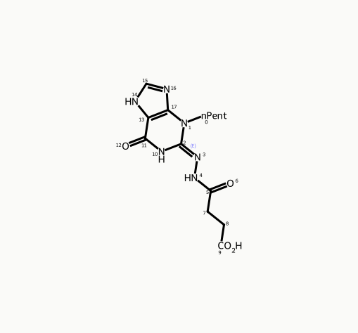 CCCCCn1/c(=N/NC(=O)CCC(=O)O)[nH]c(=O)c2[nH]cnc21